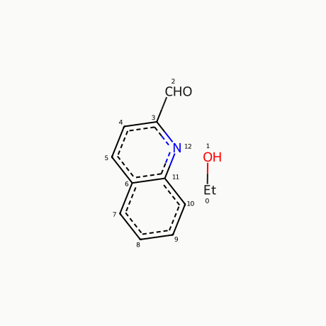 CCO.O=Cc1ccc2ccccc2n1